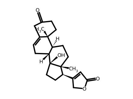 C[C@]12CCC(=O)CC1=CC[C@@H]1[C@@H]2CC[C@]2(C)[C@@H](C3=CC(=O)OC3)CC[C@]12O